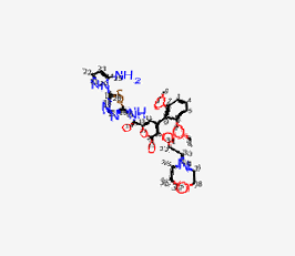 COc1cccc(OC)c1-c1cc(C(=O)Nc2nnc(-n3nccc3N)s2)oc(=O)c1OCCN1CCOCC1